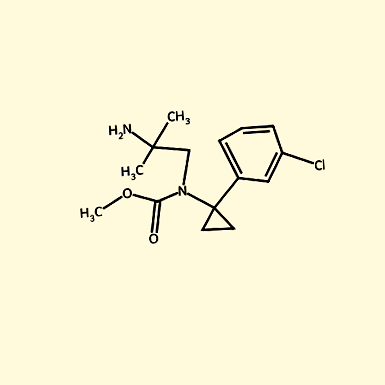 COC(=O)N(CC(C)(C)N)C1(c2cccc(Cl)c2)CC1